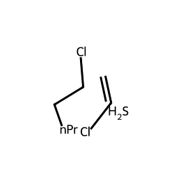 C=CCl.CCCCCCl.S